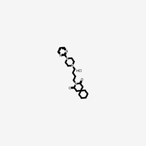 Cl.O=C1CC2(CCCCC2)CC(=O)N1CCCCN1CCN(c2ncccn2)CC1